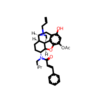 C=CCN1CC[C@]23c4c5c(O)cc(OC(C)=O)c4O[C@H]2[C@H](N(CC(C)C)C(=O)C=Cc2ccccc2)CC[C@H]3[C@H]1C5